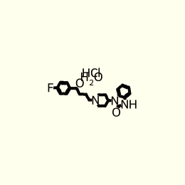 Cl.O.O=C(CCCN1CCC(n2c(=O)[nH]c3ccccc32)CC1)c1ccc(F)cc1